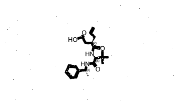 C=CC[C@H](CC(=O)O)C(=O)N[C@H](C(=O)N[C@H](C)c1ccccc1)C(C)(C)C